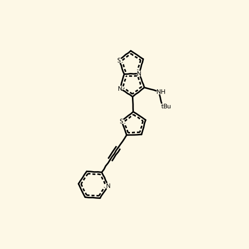 CC(C)(C)Nc1c(-c2ccc(C#Cc3ccccn3)s2)nc2sccn12